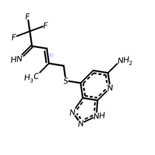 C/C(=C\C(=N)C(F)(F)F)CSc1cc(N)nc2[nH]nnc12